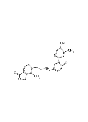 Cc1cc(-n2cc(CNCCc3ccc4c(c3C)COC4=O)ccc2=O)ncc1C#N